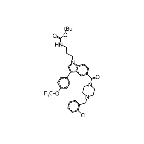 CC(C)(C)OC(=O)NCCCn1cc(-c2ccc(OC(F)(F)F)cc2)c2cc(C(=O)N3CCN(Cc4ccccc4Cl)CC3)ccc21